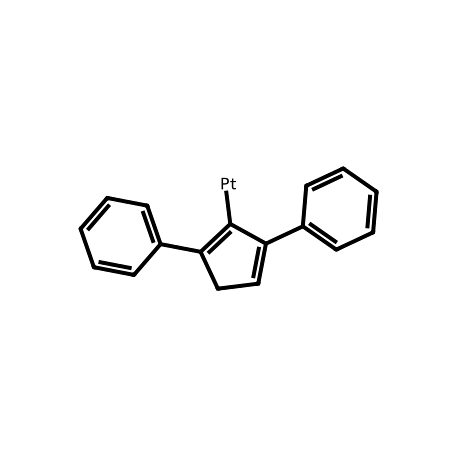 [Pt][C]1=C(c2ccccc2)CC=C1c1ccccc1